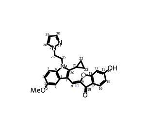 COc1ccc2c(c1)c(/C=C1\Oc3cc(O)ccc3C1=O)c(C1CC1)n2CCn1cccn1